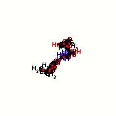 Cc1cc(C(=O)N[C@@H](CCC(=O)O)C(=O)NCC(=O)NCCNC(=O)O[C@H]2CCC3(C)C(=CC[C@@H]4C3CCC3(C)C([C@H](C)CCCC(C)C)CC[C@@H]43)C2)ccc1-c1c2cc(F)c(=O)cc-2oc2cc(O)c(F)cc12